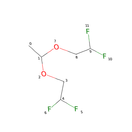 CC(OCC(F)F)OCC(F)F